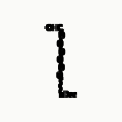 CCCCCCCCCCCCCCCCOCCOCCOCCOCCOCCOCC[C]=O